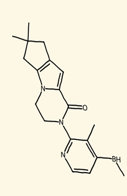 CBc1ccnc(N2CCn3c(cc4c3CC(C)(C)C4)C2=O)c1C